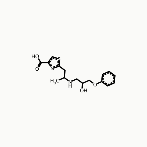 CC(Cc1nc(C(=O)O)cs1)NCC(O)COc1ccccc1